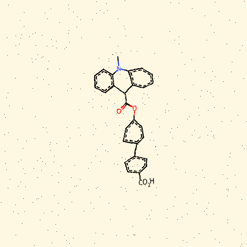 CN1c2ccccc2C(C(=O)Oc2ccc(-c3ccc(C(=O)O)cc3)cc2)c2ccccc21